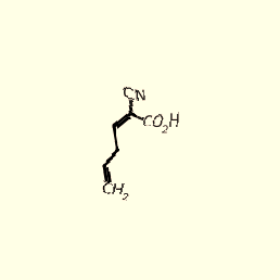 C=CC/C=C(/C#N)C(=O)O